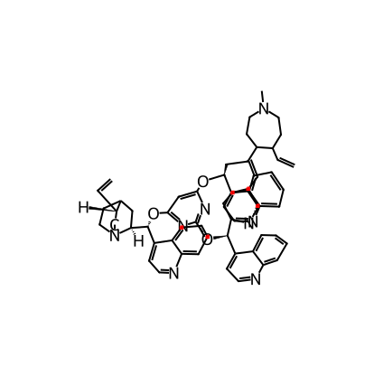 C=CC1CCN(C)CCC1CC[C@H](Oc1cc(O[C@H](c2ccnc3ccccc23)[C@@H]2CC3CCN2C[C@@H]3C=C)nc(O[C@H](c2ccnc3ccccc23)C2CC3CC[N@]2CC3C=C)n1)c1ccnc2ccccc12